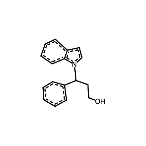 OCCC(c1ccccc1)n1ccc2ccccc21